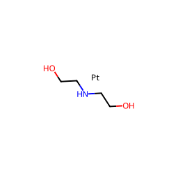 OCCNCCO.[Pt]